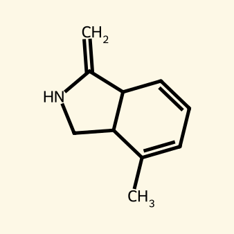 C=C1NCC2C(C)=CC=CC12